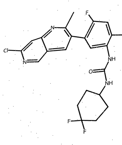 Cc1nc2cc(Cl)ncc2cc1-c1cc(NC(=O)NC2CCC(F)(F)CC2)c(F)cc1F